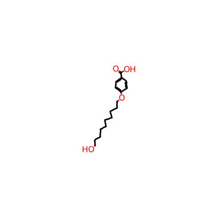 O=C(O)c1ccc(OCCCCCCCCCCO)cc1